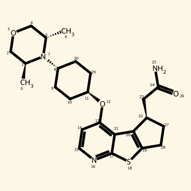 C[C@H]1COC[C@H](C)N1[C@H]1CC[C@H](Oc2ccnc3sc4c(c23)[C@@H](CC(N)=O)CC4)CC1